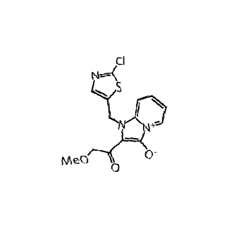 COCC(=O)c1c([O-])[n+]2ccccc2n1Cc1cnc(Cl)s1